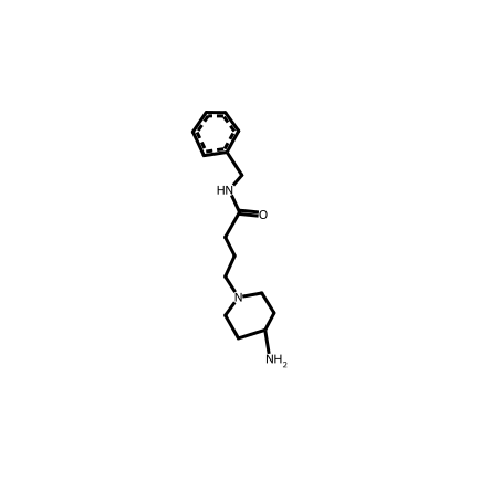 NC1CCN(CCCC(=O)NCc2ccccc2)CC1